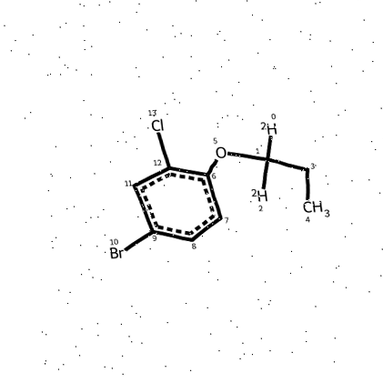 [2H]C([2H])(CC)Oc1ccc(Br)cc1Cl